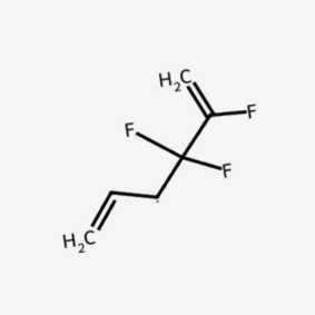 C=C[CH]C(F)(F)C(=C)F